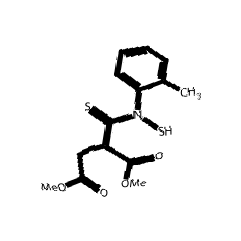 COC(=O)CC(C(=O)OC)C(=S)N(S)c1ccccc1C